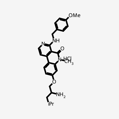 COc1ccc(CNc2nccc3c2c(=O)n(C)c2cc(OCC(N)CC(C)C)ccc32)cc1.Cl